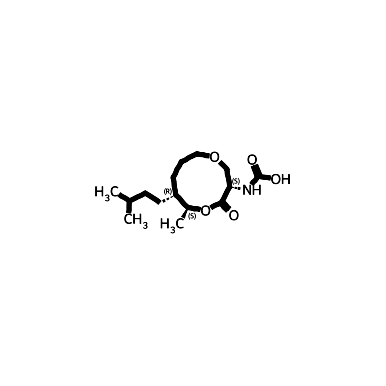 CC(C)CC[C@@H]1CCCOC[C@H](NC(=O)O)C(=O)O[C@H]1C